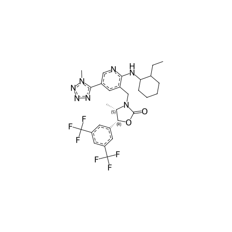 CCC1CCCCC1Nc1ncc(-c2nnnn2C)cc1CN1C(=O)O[C@H](c2cc(C(F)(F)F)cc(C(F)(F)F)c2)[C@@H]1C